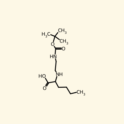 CCCCC(NCCNC(=O)OC(C)(C)C)C(=O)O